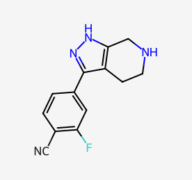 N#Cc1ccc(-c2n[nH]c3c2CCNC3)cc1F